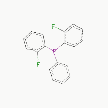 Fc1ccccc1P(c1ccccc1)c1ccccc1F